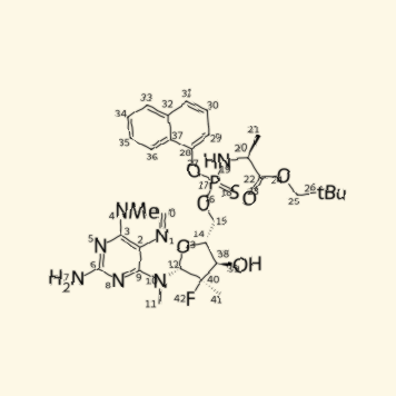 C=Nc1c(NC)nc(N)nc1N(C)[C@@H]1O[C@H](COP(=S)(N[C@@H](C)C(=O)OCC(C)(C)C)Oc2cccc3ccccc23)[C@@H](O)[C@@]1(C)F